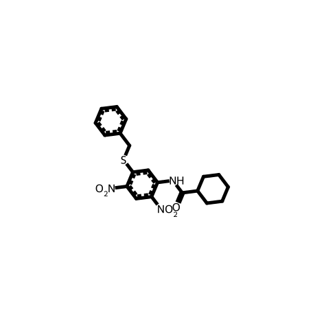 O=C(Nc1cc(SCc2ccccc2)c([N+](=O)[O-])cc1[N+](=O)[O-])C1CCCCC1